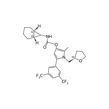 Cc1c(OC(=O)NC2[C@H]3CCCC[C@@H]23)cc(-c2cc(C(F)(F)F)cc(C(F)(F)F)c2)n1C[C@H]1CCCO1